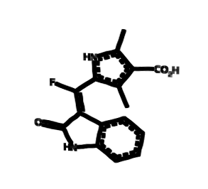 Cc1[nH]c(/C(F)=C2/C(=O)Nc3ccccc32)c(C)c1C(=O)O